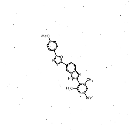 CCCc1cc(C)c(-c2nc3ccc(-c4nnc(-c5ccc(OC)cc5)o4)cc3[nH]2)c(C)c1